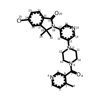 Cc1ccncc1C(=O)N1CCN(c2cncc(N3C(=O)c4ccc(Cl)cc4C3(C)C)c2)CC1